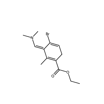 CCOC(=O)C1=C(C)C(=CN(C)C)C(Br)=CC1